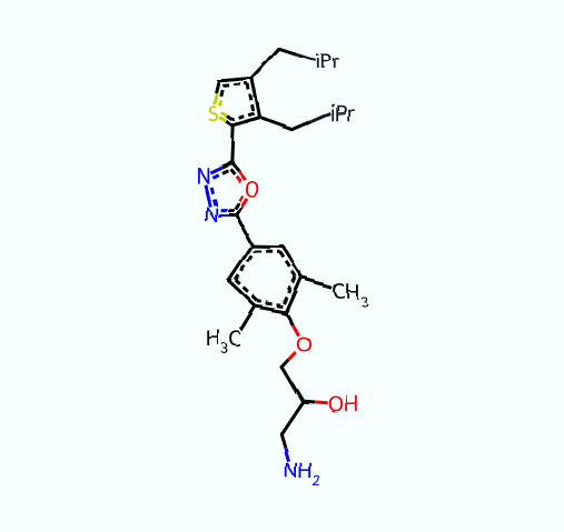 Cc1cc(-c2nnc(-c3scc(CC(C)C)c3CC(C)C)o2)cc(C)c1OCC(O)CN